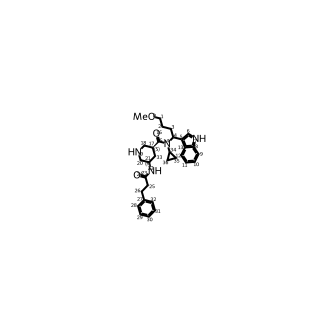 COCCCC(c1c[nH]c2ccccc12)N(C(=O)[C@@H]1CNC[C@H](NC(=O)CCc2ccccc2)C1)C1CC1